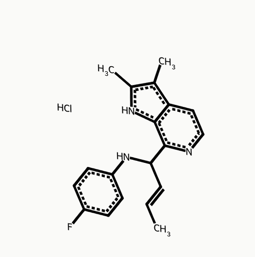 CC=CC(Nc1ccc(F)cc1)c1nccc2c(C)c(C)[nH]c12.Cl